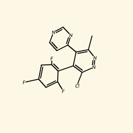 Cc1nnc(Cl)c(-c2c(F)cc(F)cc2F)c1-c1ccncn1